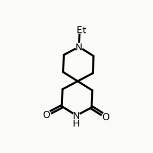 CCN1CCC2(CC1)CC(=O)NC(=O)C2